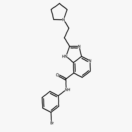 O=C(Nc1cccc(Br)c1)c1ccnc2nc(CCN3CCCC3)[nH]c12